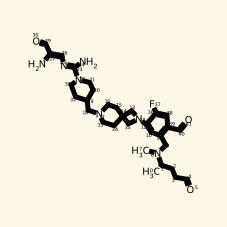 CC(CCC=O)N(C)Cc1cc(N2CC3(CCN(CC4CCN(/C(N)=N/C=C(\N)C=O)CC4)CC3)C2)c(F)cc1C=O